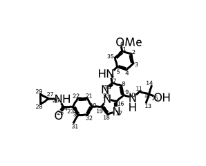 COc1cccc(Nc2cc(NCC(C)(C)O)c3ncc(-c4ccc(C(=O)NC5CC5)c(C)c4)n3n2)c1